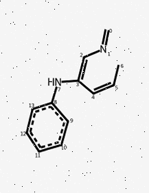 C=N/C=C(\C=C/C)Nc1ccccc1